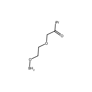 BOCCOCC(=O)C(C)C